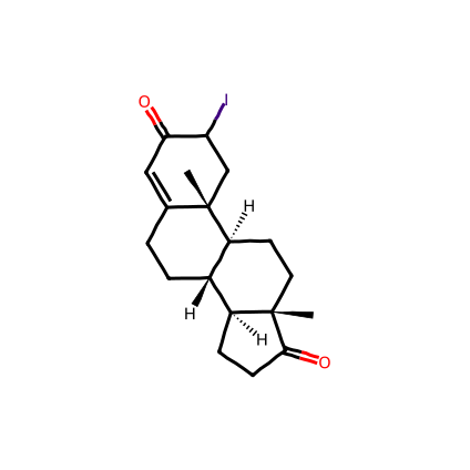 C[C@]12CC(I)C(=O)C=C1CC[C@@H]1[C@@H]2CC[C@]2(C)C(=O)CC[C@@H]12